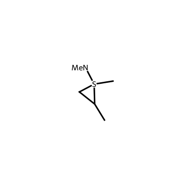 CNS1(C)CC1C